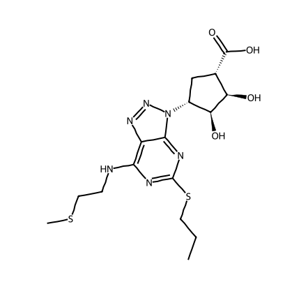 CCCSc1nc(NCCSC)c2nnn([C@@H]3C[C@H](C(=O)O)[C@@H](O)[C@H]3O)c2n1